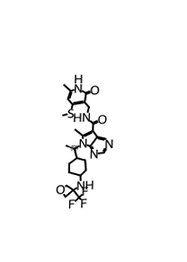 CSc1cc(C)[nH]c(=O)c1CNC(=O)c1c(C)n([C@H](C)C2CCC(NC3(C(F)(F)F)COC3)CC2)c2ncncc12